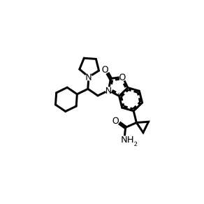 NC(=O)C1(c2ccc3oc(=O)n(CC(C4CCCCC4)N4CCCC4)c3c2)CC1